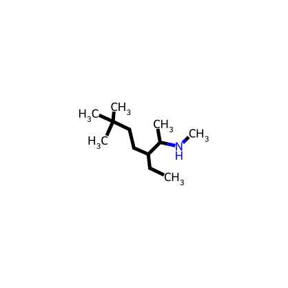 CCC(CCC(C)(C)C)C(C)NC